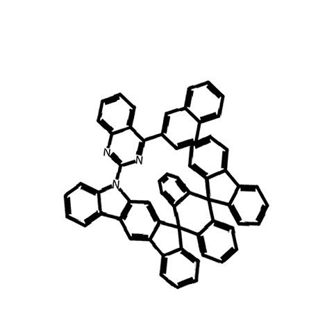 c1ccc2c(c1)-c1ccccc1C21c2ccccc2C2(c3ccccc3-c3cc4c5ccccc5n(-c5nc(-c6ccc7ccccc7c6)c6ccccc6n5)c4cc32)c2ccccc21